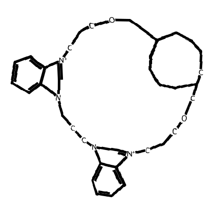 c1ccc2c(c1)n1c[n+]2CCCOCC2CCCCC(CCCC2)COCCC[n+]2cn(c3ccccc32)CCC1